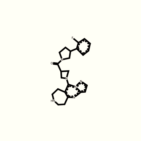 O=C(C1CN(c2c3c(nc4ccnn24)CCNCC3)C1)N1CCC(c2ccccc2F)C1